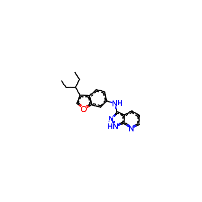 CCC(CC)c1coc2cc(Nc3n[nH]c4ncccc34)ccc12